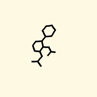 CC(C)C[C]1CCCC(C2CCCCC2)C1CC(C)C